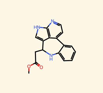 COC(=O)CC1Nc2ccccc2-c2ccnc3[nH]cc1c23